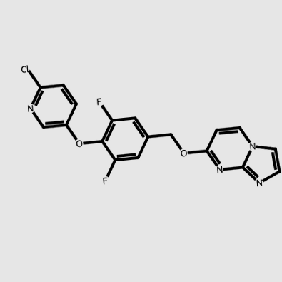 Fc1cc(COc2ccn3ccnc3n2)cc(F)c1Oc1ccc(Cl)nc1